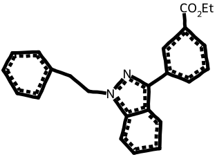 CCOC(=O)c1cccc(-c2nn(CCc3ccccc3)c3ccccc23)c1